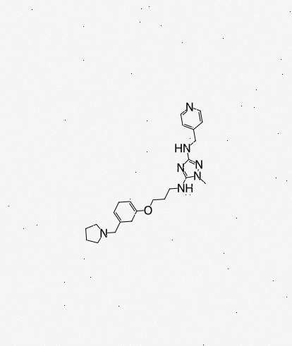 Cn1nc(NCc2ccncc2)nc1NCCCOC1=CCC=C(CN2CCCC2)C1